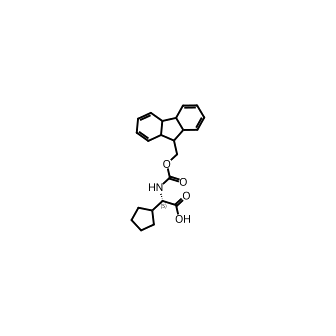 O=C(N[C@H](C(=O)O)C1CCCC1)OCC1C2C=CC=CC2C2C=CC=CC21